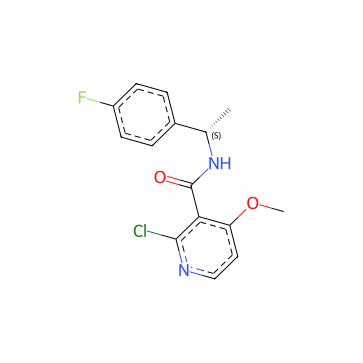 COc1ccnc(Cl)c1C(=O)N[C@@H](C)c1ccc(F)cc1